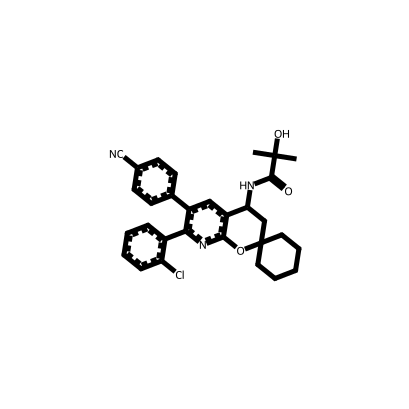 CC(C)(O)C(=O)NC1CC2(CCCCC2)Oc2nc(-c3ccccc3Cl)c(-c3ccc(C#N)cc3)cc21